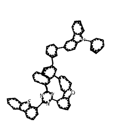 c1ccc(-c2nc(-c3cccc4c3sc3ccccc34)nc(-c3cccc4oc5ccc(-c6cccc(-c7cccc(-c8ccc9c(c8)c8ccccc8n9-c8ccccc8)c7)c6)cc5c34)n2)cc1